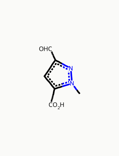 Cn1nc(C=O)cc1C(=O)O